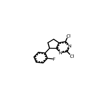 Fc1ccccc1C1CCc2c(Cl)nc(Cl)nc21